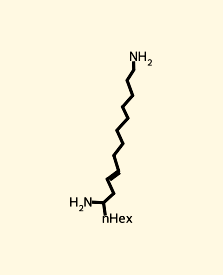 CCCCCCC(N)C/C=C/CCCCCCCCN